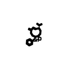 C=C1/C=C/[C@H](C(C)C)CCC(=O)[CH]([Sn][c]2ccccc2)CC1